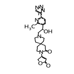 Cc1nc(-n2cnnn2)ccc1C(O)CN1CCC2(CC1)CCN(C1=CC(=O)OC1)C(=O)C2